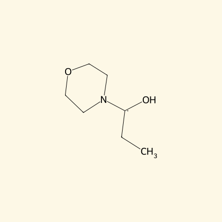 CC[C](O)N1CCOCC1